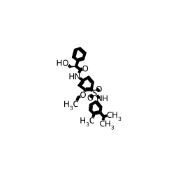 CCOc1cc(NC(=O)[C@@H](CO)c2ccccc2)ccc1S(=O)(=O)Nc1ccc(C)c(C(C)C)c1